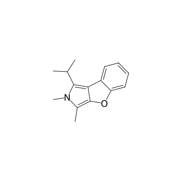 Cc1c2oc3ccccc3c2c(C(C)C)n1C